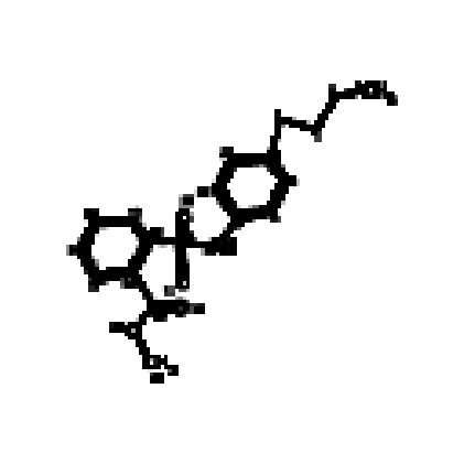 CCCCc1ccc(NS(=O)(=O)c2ccccc2C(=O)OC)cc1